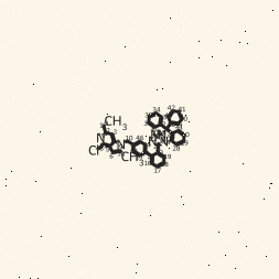 CCc1cc2c(cc(C)n2Cc2ccc(-c3ccccc3-c3nnn(C(c4ccccc4)(c4ccccc4)c4ccccc4)n3)cc2)c(Cl)n1